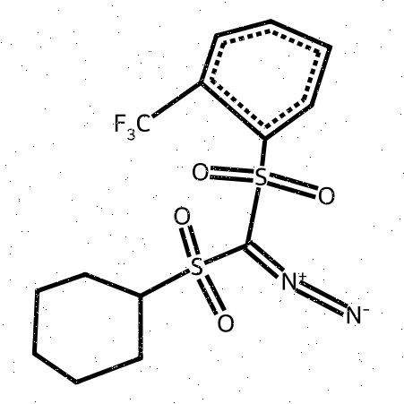 [N-]=[N+]=C(S(=O)(=O)c1ccccc1C(F)(F)F)S(=O)(=O)C1CCCCC1